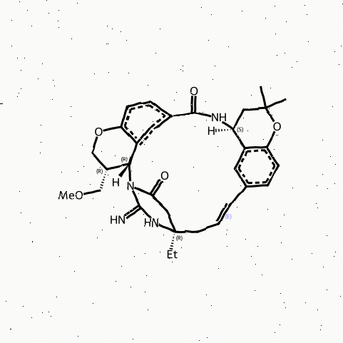 CC[C@]12C/C=C/c3ccc4c(c3)[C@H](CC(C)(C)O4)NC(=O)c3ccc4c(c3)[C@@H]([C@H](COC)CO4)N(C(=N)N1)C(=O)C2